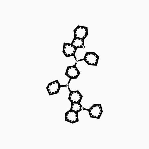 c1ccc(N(c2ccc(N(c3ccccc3)c3cccc4c3oc3ccccc34)cc2)c2ccc3c(c2)c2ccccc2n3-c2ccccc2)cc1